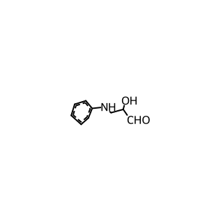 O=CC(O)CNc1ccccc1